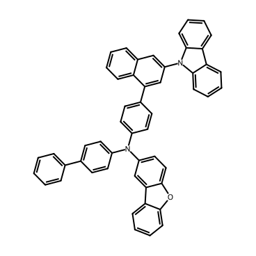 c1ccc(-c2ccc(N(c3ccc(-c4cc(-n5c6ccccc6c6ccccc65)cc5ccccc45)cc3)c3ccc4oc5ccccc5c4c3)cc2)cc1